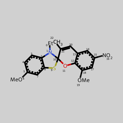 CCN1c2ccc(OC)cc2SC12Oc1c(cc([N+](=O)[O-])cc1OC)C=C2C